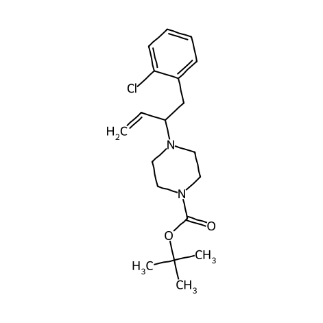 C=CC(Cc1ccccc1Cl)N1CCN(C(=O)OC(C)(C)C)CC1